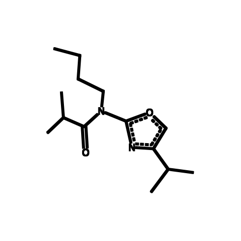 CCCCN(C(=O)C(C)C)c1nc(C(C)C)co1